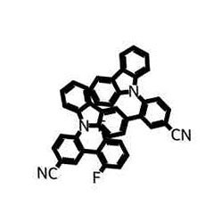 N#Cc1ccc(-n2c3ccccc3c3ccccc32)c(-c2ccc3c(c2)c2ccccc2n3-c2ccc(C#N)cc2-c2c(F)cccc2F)c1